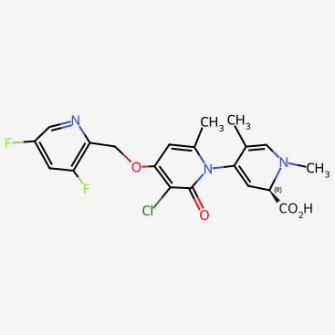 CC1=CN(C)[C@@H](C(=O)O)C=C1n1c(C)cc(OCc2ncc(F)cc2F)c(Cl)c1=O